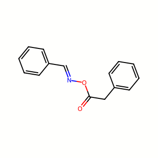 O=C(Cc1ccccc1)ON=Cc1ccccc1